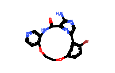 Nc1ncc2nc1C(=O)Nc1cnccc1OCCOc1ccc(Br)c-2c1